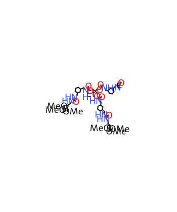 CCC(COC(=O)NCC1CCCC(CN=C=O)C1)(COC(=O)NCC1CCCC(CNC(=O)NCCC[Si](OC)(OC)OC)C1)COC(=O)NCC1CCCC(CNC(=O)NCCC[Si](OC)(OC)OC)C1